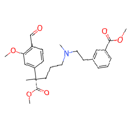 COC(=O)c1cccc(CCN(C)CCCC(C)(C(=O)OC)c2ccc(C=O)c(OC)c2)c1